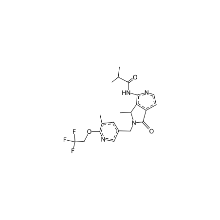 Cc1cc(CN2C(=O)c3ccnc(NC(=O)C(C)C)c3C2C)cnc1OCC(F)(F)F